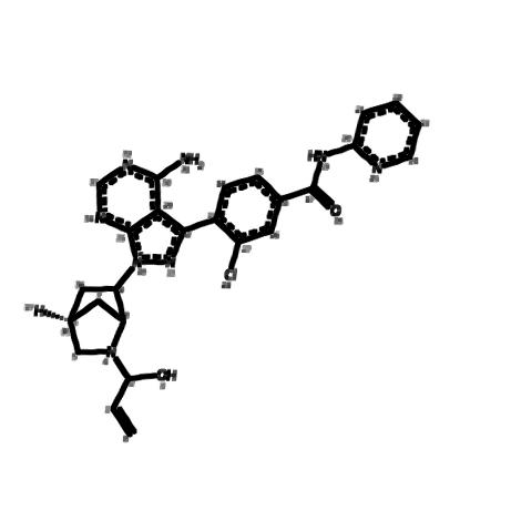 C=CC(O)N1C[C@@H]2CC1C(n1nc(-c3ccc(C(=O)Nc4ccccn4)cc3Cl)c3c(N)ncnc31)C2